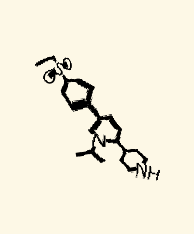 CCS(=O)(=O)c1ccc(C2=CN(C(C)C)C(C3CCNCC3)C=C2)cc1